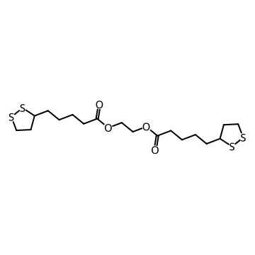 O=C(CCCCC1CCSS1)OCCOC(=O)CCCCC1CCSS1